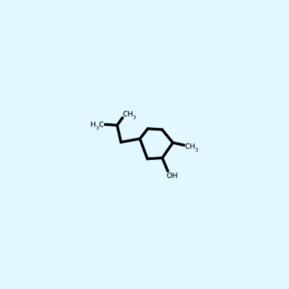 CC(C)CC1CCC(C)C(O)C1